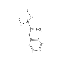 CCN(CC)PCc1ccccc1.Cl